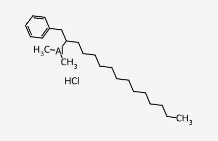 CCCCCCCCCCCCC[CH](Cc1ccccc1)[Al]([CH3])[CH3].Cl